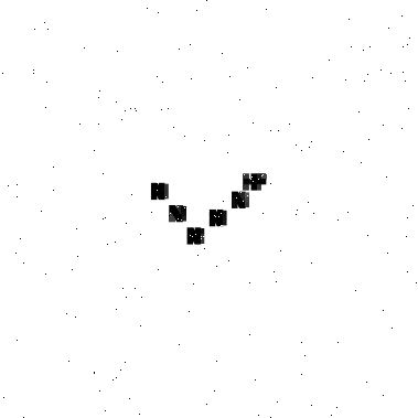 F.[N].[N].[N].[N].[N]